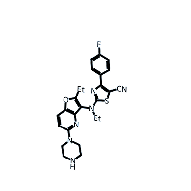 CCc1oc2ccc(N3CCNCC3)nc2c1N(CC)c1nc(-c2ccc(F)cc2)c(C#N)s1